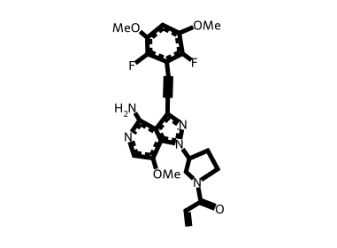 C=CC(=O)N1CCC(n2nc(C#Cc3c(F)c(OC)cc(OC)c3F)c3c(N)ncc(OC)c32)C1